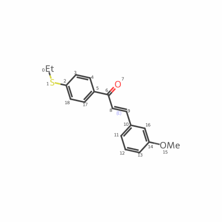 CCSc1ccc(C(=O)/C=C/c2cccc(OC)c2)cc1